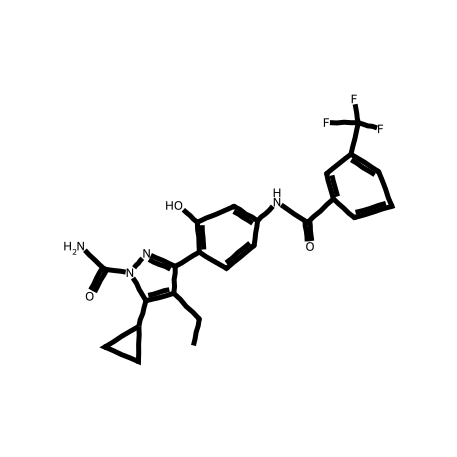 CCc1c(-c2ccc(NC(=O)c3cccc(C(F)(F)F)c3)cc2O)nn(C(N)=O)c1C1CC1